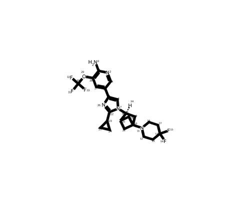 Nc1ncc(-c2cn([C@H]3CC4(N5CCC(F)(F)CC5)CC3C4)c(C3CC3)n2)cc1OC(F)(F)F